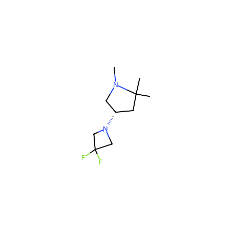 CN1C[C@@H](N2CC(F)(F)C2)CC1(C)C